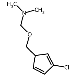 CN(C)COCC1C=CC(Cl)=C1